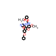 COc1ccccc1OCc1nc2c(OC)ccc(C3(Cc4ccncc4)C(=O)c4ccc(OCc5ccccc5)cc4C3=O)c2[nH]1